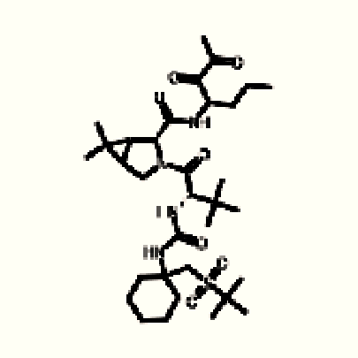 CCCC(NC(=O)[C@@H]1C2C(CN1C(=O)[C@@H](NC(=O)NC1(CS(=O)(=O)C(C)(C)C)CCCCC1)C(C)(C)C)C2(C)C)C(=O)C(C)=O